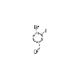 O=Cc1ccc(Br)c(I)c1